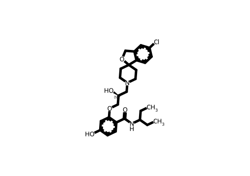 CCC(CC)NC(=O)c1ccc(O)cc1OC[C@@H](O)CN1CCC2(CC1)OCc1cc(Cl)ccc12